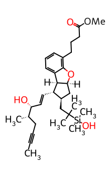 CC#CC[C@H](C)[C@H](O)/C=C/[C@H]1[C@H](CC(C)(C)[Si](C)(C)O)C[C@@H]2Oc3c(CCCC(=O)OC)cccc3[C@H]12